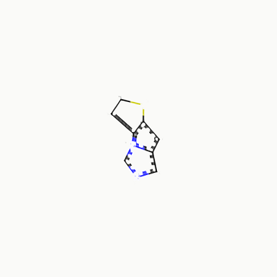 C1=c2c(cc3cncn23)SC1